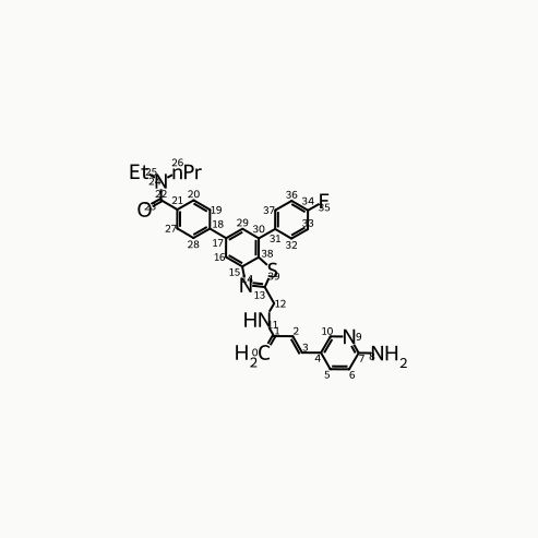 C=C(/C=C/c1ccc(N)nc1)NCc1nc2cc(-c3ccc(C(=O)N(CC)CCC)cc3)cc(-c3ccc(F)cc3)c2s1